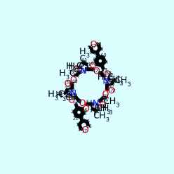 CC(C)C[C@H]1C(=O)O[C@H](Cc2ccc(C3CCOCC3)cc2)C(=O)N(C)[C@@H](CC(C)C)C(=O)O[C@H](C)C(=O)N(C)[C@@H](CC(C)C)C(=O)O[C@H](Cc2ccc(C3CCOCC3)cc2)C(=O)N(C)[C@@H](CC(C)C)C(=O)O[C@H](C)C(=O)N1C